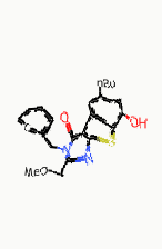 CCCCc1cc(O)c2sc3nc(COC)n(Cc4ccccc4)c(=O)c3c2c1